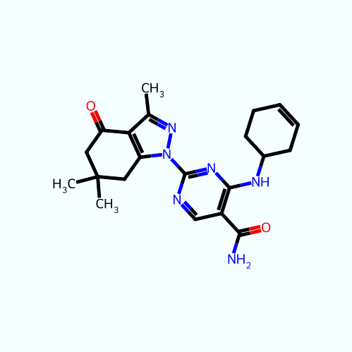 Cc1nn(-c2ncc(C(N)=O)c(NC3CC=CCC3)n2)c2c1C(=O)CC(C)(C)C2